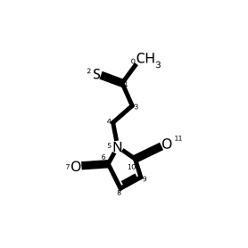 CC(=S)CCN1C(=O)C=CC1=O